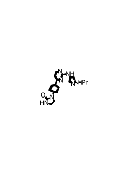 CC(C)n1cc(Nc2nccc(-c3ccc(N4CCNC4=O)cc3)n2)cn1